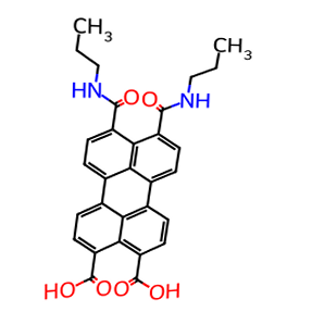 CCCNC(=O)c1ccc2c3ccc(C(=O)O)c4c(C(=O)O)ccc(c5ccc(C(=O)NCCC)c1c25)c43